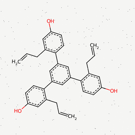 C=CCc1cc(O)ccc1-c1cc(-c2ccc(O)cc2CC=C)cc(-c2ccc(O)cc2CC=C)c1